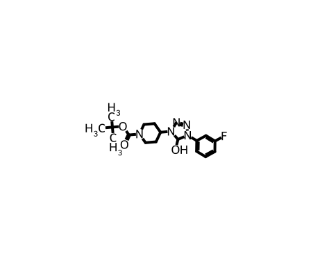 CC(C)(C)OC(=O)N1CCC(N2N=NN(c3cccc(F)c3)C2O)CC1